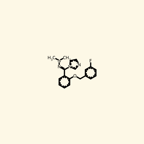 CN(C)N=C(c1ccccc1OCc1cccc(F)c1)n1ccnc1